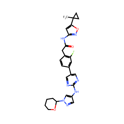 O=C(Cc1ccc(-c2cnc(Nc3cnn(C4CCCCO4)c3)nc2)cc1F)Nc1cc(C2(C(F)(F)F)CC2)on1